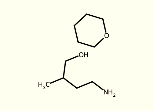 C1CCOCC1.CC(CO)CCN